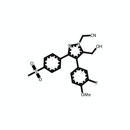 COc1ccc(-c2c(-c3ccc(S(C)(=O)=O)cc3)nn(CC#N)c2CO)cc1F